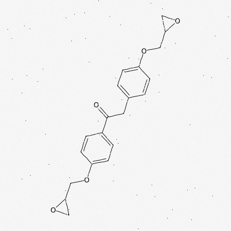 O=C(Cc1ccc(OCC2CO2)cc1)c1ccc(OCC2CO2)cc1